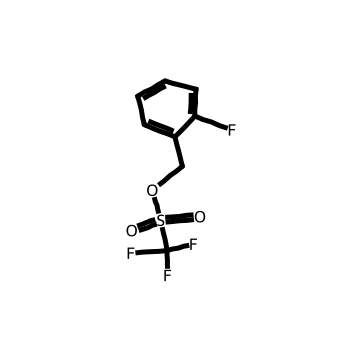 O=S(=O)(OCc1ccccc1F)C(F)(F)F